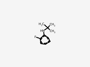 CC(C)(C)Nc1ccccc1F